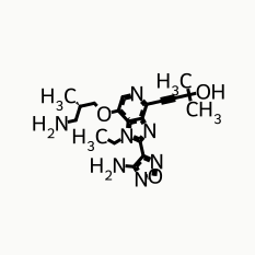 CCn1c(-c2nonc2N)nc2c(C#CC(C)(C)O)ncc(OC[C@@H](C)CN)c21